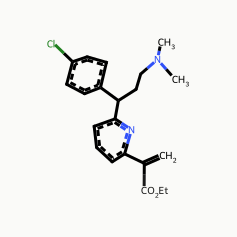 C=C(C(=O)OCC)c1cccc(C(CCN(C)C)c2ccc(Cl)cc2)n1